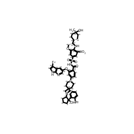 CC(C)c1ccccc1C1(O)CCCC1N1CC2(CCN(c3ccc(C(=O)NS(=O)(=O)c4cc5c(c([N+](=O)[O-])c4)N[C@@H]([C@H]4CC[C@](C)(O)CC4)CO5)c(Oc4cnc5[nH]cc(F)c5c4)c3)CC2)C1